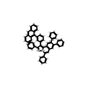 c1ccc(-c2cc3cc(-c4ccccc4)n4nc(-c5ccccc5)c(-c5cccc(-c6c7ccccc7cc7ccccc67)c5)c4c3cc2-c2ccccc2)cc1